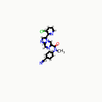 CN(C(=O)c1cn2c(-c3ncccc3Cl)cnc2cn1)c1ccc(C#N)cc1